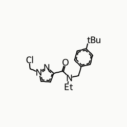 CCN(Cc1ccc(C(C)(C)C)cc1)C(=O)c1ccn(CCl)n1